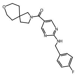 O=C(c1cnc(NCc2ccc(F)cc2)nc1)N1CCC2(CCOCC2)C1